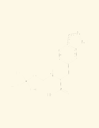 CC(C)(C)OCNC(Cc1ccc2cn[nH]c2c1)C(=O)O